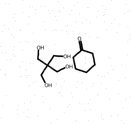 O=C1CCCCC1.OCC(CO)(CO)CO